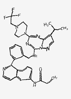 C=CC(=O)Nc1ccc2c(-c3ccccc3CNc3nc(N4CCN(CC(F)(F)F)CC4)nc4c(C(C)C)cnn34)nccc2c1